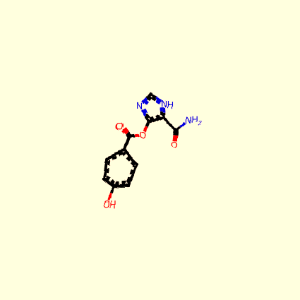 NC(=O)c1[nH]cnc1OC(=O)c1ccc(O)cc1